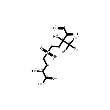 C=CC(=C)C(O)(CCS(=N)(=O)CC[C@H](N)C(=O)O)C(F)(F)F